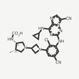 C[C@H]1CN(C2CN(c3cc(C#N)cc(Nc4nc(NC5CC5)c5ncc(C#N)n5n4)c3Cl)C2)C[C@H]1NC(=O)O